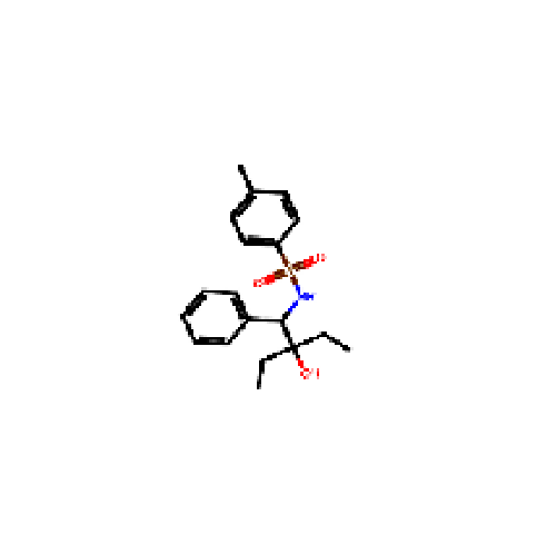 CCC(O)(CC)C(NS(=O)(=O)c1ccc(C)cc1)c1ccccc1